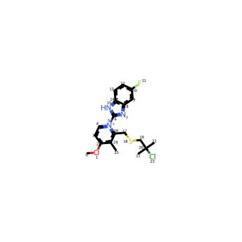 COc1cc[n+](-c2nc3cc(F)ccc3[nH]2)c(CSCC(C)(C)Cl)c1C